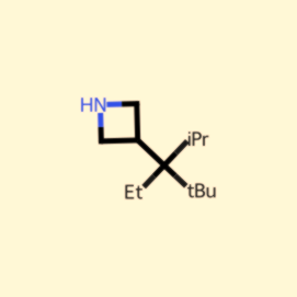 CCC(C(C)C)(C1CNC1)C(C)(C)C